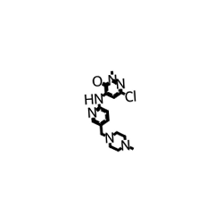 CN1CCN(Cc2ccc(Nc3cc(Cl)nn(C)c3=O)nc2)CC1